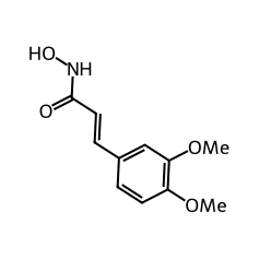 COc1ccc(C=CC(=O)NO)cc1OC